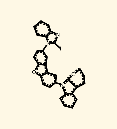 Ic1nc2ccccc2n1-c1ccc2oc3ccc(-n4c5ccccc5c5ccccc54)cc3c2c1